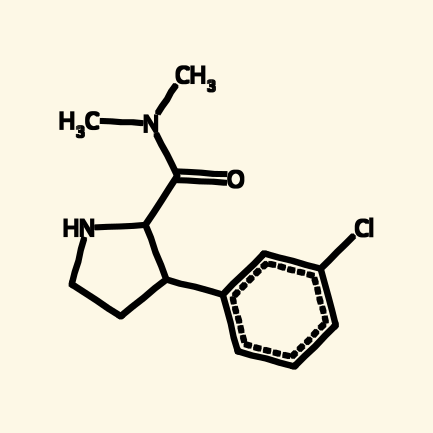 CN(C)C(=O)C1NCCC1c1cccc(Cl)c1